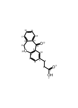 O=C(O)CCc1ccc2c(c1)C(=O)c1ccccc1CO2